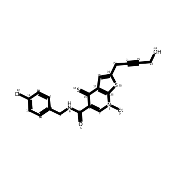 CCn1cc(C(=O)NCc2ccc(Cl)cc2)c(=S)c2cc(CC#CCO)sc21